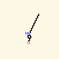 CCCCCCCCCCCCCCCCNc1ccc(CC=O)cc1